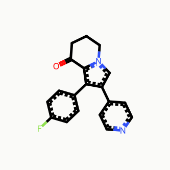 O=C1CCCn2cc(-c3ccncc3)c(-c3ccc(F)cc3)c21